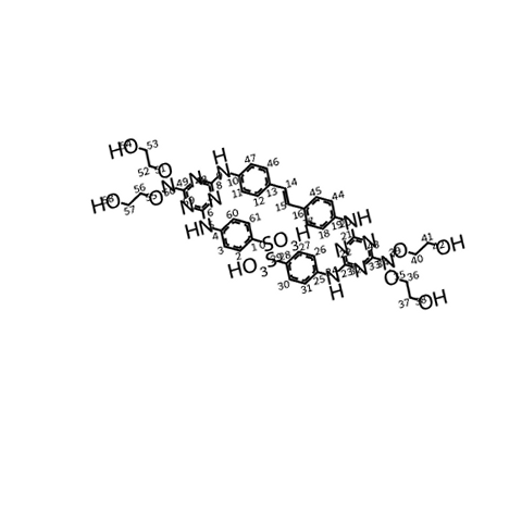 O=S(=O)(O)c1ccc(Nc2nc(Nc3ccc(C=Cc4ccc(Nc5nc(Nc6ccc(S(=O)(=O)O)cc6)nc(N(OCCO)OCCO)n5)cc4)cc3)nc(N(OCCO)OCCO)n2)cc1